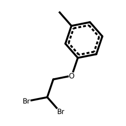 Cc1cccc(OCC(Br)Br)c1